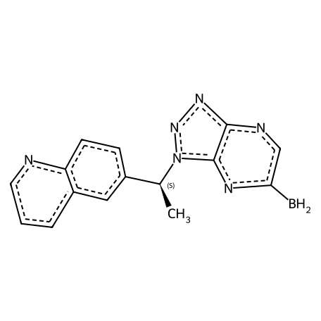 Bc1cnc2nnn([C@@H](C)c3ccc4ncccc4c3)c2n1